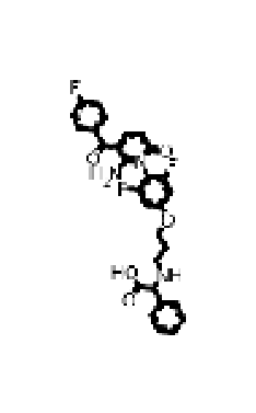 Nc1c(C(=O)c2ccc(F)cc2)ccc(=O)n1-c1c(F)cc(OCCCNC(C(=O)O)c2ccccc2)cc1F